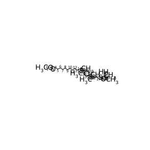 CCOOCCCCCCCCCCC[Si](C)(C)c1ccc([Si](C)(C)CCC[SiH2]O[SiH](C)C)cc1